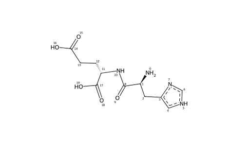 N[C@@H](Cc1c[nH]cn1)C(=O)N[C@@H](CCC(=O)O)C(=O)O